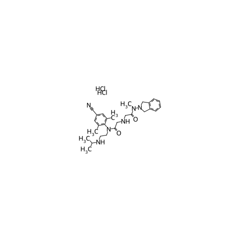 Cc1cc(C#N)cc(C)c1N(CCNC(C)C)C(=O)CNCC(=O)N(C)N1Cc2ccccc2C1.Cl.Cl